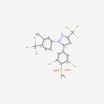 Cc1cc(-n2nc(C(F)(F)F)cc2-c2cc(F)c(S(C)(=O)=O)c(F)c2)ccc1C(F)(F)F